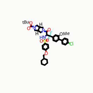 COc1cc(C(F)(F)C(NS(=O)(=O)c2ccc(OCC3CCCCC3)cc2)C(=O)N2C[C@H]3CN(C(=O)OC(C)(C)C)C[C@H]3C2)ccc1-c1ccc(Cl)cc1